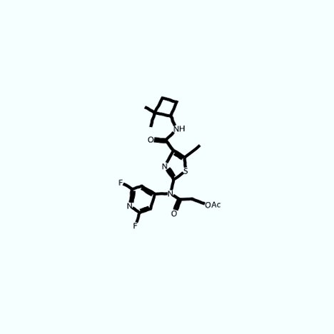 CC(=O)OCC(=O)N(c1cc(F)nc(F)c1)c1nc(C(=O)NC2CCC2(C)C)c(C)s1